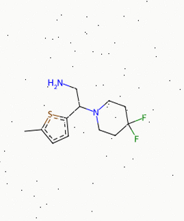 Cc1ccc(C(CN)N2CCC(F)(F)CC2)s1